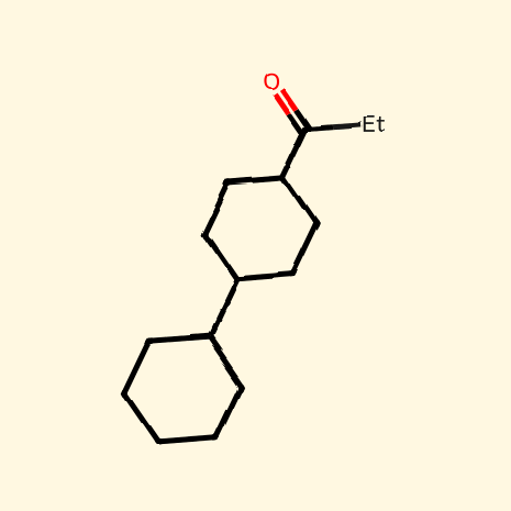 CCC(=O)C1CCC(C2CCCCC2)CC1